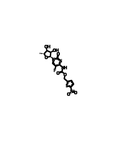 C[C@H]1O[C@@H](n2cc(F)c(NC(=O)OCc3ccc([N+](=O)[O-])s3)nc2=O)[C@H](O)[C@@H]1O